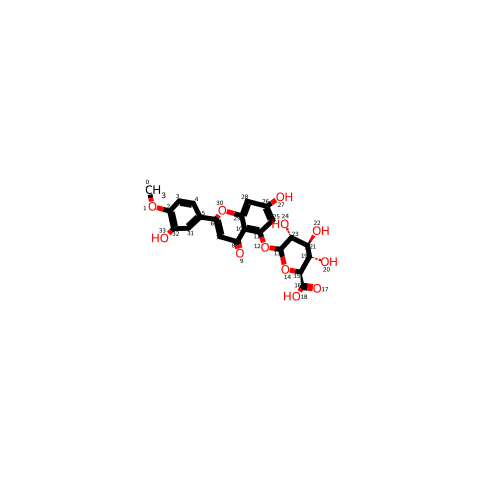 COc1ccc(-c2cc(=O)c3c(OC4O[C@H](C(=O)O)[C@@H](O)[C@H](O)[C@H]4O)cc(O)cc3o2)cc1O